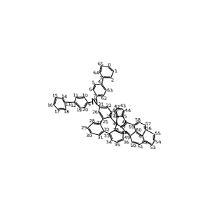 c1ccc(-c2ccc(N(c3ccc(-c4ccccc4)cc3)c3ccc4c(c3)-c3ccccc3-c3ccccc3C43c4ccccc4-c4c3cc3ccc5cccc6ccc4c3c56)cc2)cc1